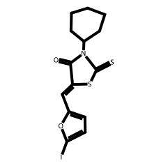 O=C1/C(=C/c2ccc(I)o2)SC(=S)N1C1CCCCC1